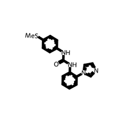 CSc1ccc(NC(=O)Nc2ccccc2-n2ccnc2)cc1